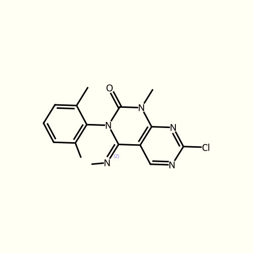 C/N=c1/c2cnc(Cl)nc2n(C)c(=O)n1-c1c(C)cccc1C